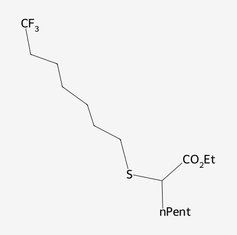 CCCCCC(SCCCCCCC(F)(F)F)C(=O)OCC